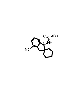 CC(C)(C)[S@@+]([O-])N[C@@H]1c2cccc(C#N)c2CC12CCCCC2